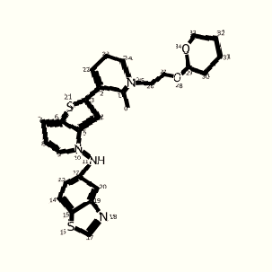 CC1C(C2C=C3C(=CC=CN3Nc3ccc4scnc4c3)S2)=CCCN1CCOC1CCCCO1